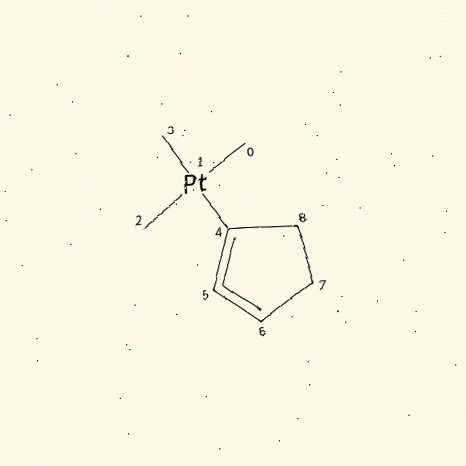 [CH3][Pt]([CH3])([CH3])[C]1=C=CCC1